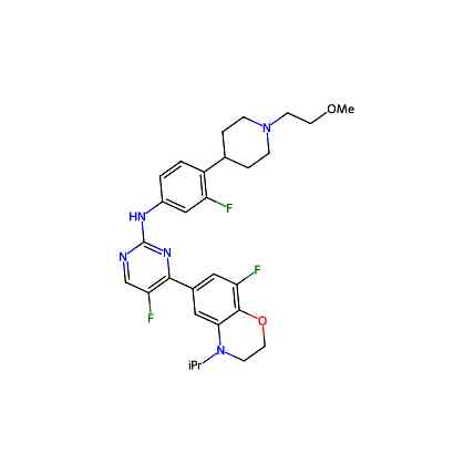 COCCN1CCC(c2ccc(Nc3ncc(F)c(-c4cc(F)c5c(c4)N(C(C)C)CCO5)n3)cc2F)CC1